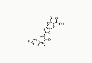 CN(C(=O)N(C)c1cc2oc(=O)c(C(=O)O)cc2s1)c1ccc(F)cc1